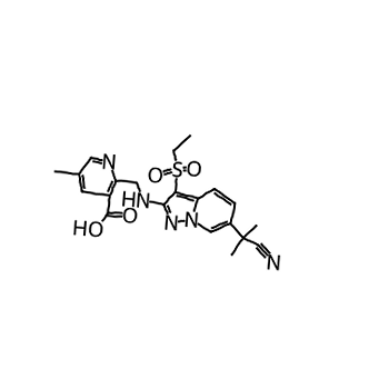 CCS(=O)(=O)c1c(NCc2ncc(C)cc2C(=O)O)nn2cc(C(C)(C)C#N)ccc12